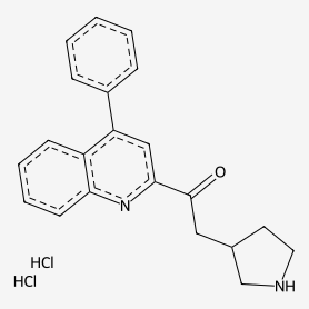 Cl.Cl.O=C(CC1CCNC1)c1cc(-c2ccccc2)c2ccccc2n1